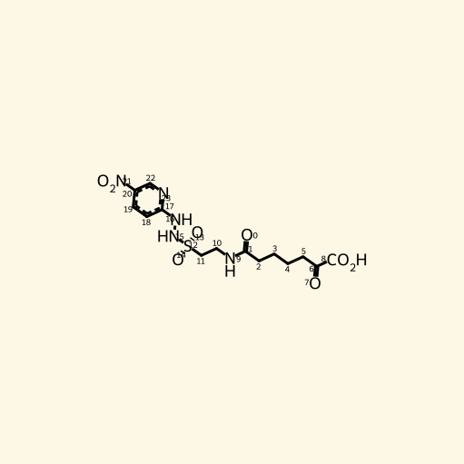 O=C(CCCCC(=O)C(=O)O)NCCS(=O)(=O)NNc1ccc([N+](=O)[O-])cn1